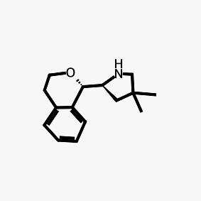 CC1(C)CN[C@H]([C@H]2OCCc3ccccc32)C1